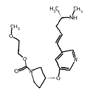 CN[C@@H](C)C/C=C/c1cncc(O[C@@H]2CCN(C(=O)OCCOC)C2)c1